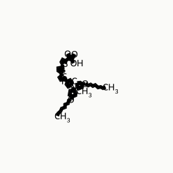 CCCCCCCCOc1ccc(N(c2ccc(-c3ccc(-c4ccc(-c5ccc(-c6c(O)c(=O)c6=O)s5)s4)s3)cc2)c2ccc(OCCCCCCCC)cc2C)c(C)c1